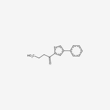 O=C(O)CCC(=O)c1cc(-c2ccccc2)cs1